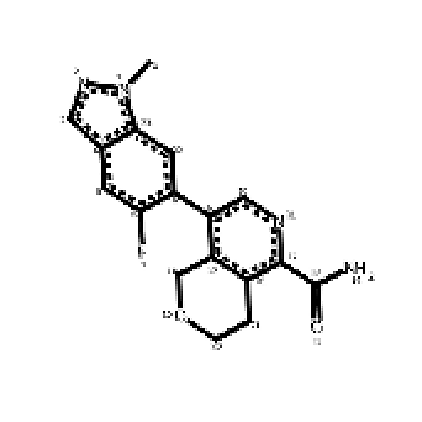 Cn1ncc2cc(F)c(-c3cnc(C(N)=O)c4c3COC[CH]4)cc21